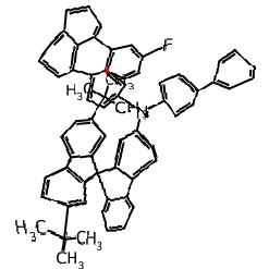 CC(C)(C)c1ccc2c(c1)C1(c3ccccc3-c3ccc(N(c4ccc(-c5ccccc5)cc4)c4ccc(-c5cccc6cccc(-c7cccc(F)c7)c56)cc4)cc31)c1cc(C(C)(C)C)ccc1-2